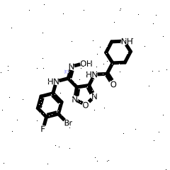 O=C(Nc1nonc1/C(=N\O)Nc1ccc(F)c(Br)c1)C1CCNCC1